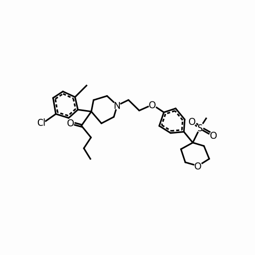 CCCC(=O)C1(c2cc(Cl)ccc2C)CCN(CCOc2ccc(C3(S(C)(=O)=O)CCOCC3)cc2)CC1